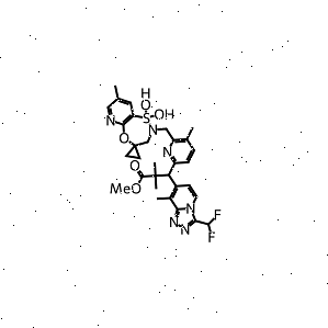 COC(=O)C(C)(C)C(c1ccc(C)c(CN2CC3(CC3)Oc3ncc(C)cc3S2(O)O)n1)c1ccn2c(C(F)F)nnc2c1C